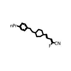 CCCc1ccc(CCC2CCC(C=CC=C(F)C#N)CC2)cc1